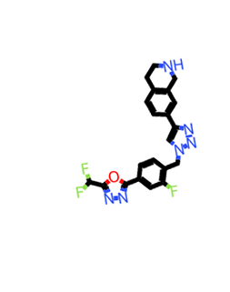 Fc1cc(-c2nnc(C(F)F)o2)ccc1Cn1cc(-c2ccc3c(c2)CNCC3)nn1